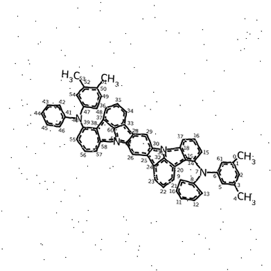 Cc1cc(C)cc(N(c2ccccc2)c2cccc3c2c2cccc4c5cc6c(cc5n3c42)c2cccc3c4c(N(c5ccccc5)c5ccc(C)c(C)c5)cccc4n6c23)c1